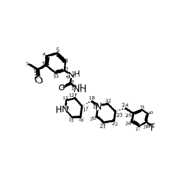 CC(=O)c1cccc(NC(=O)N[C@H]2CNCC[C@H]2CN2CCC[C@@H](Cc3ccc(F)cc3)C2)c1